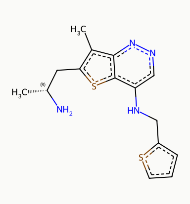 Cc1c(C[C@@H](C)N)sc2c(NCc3cccs3)cnnc12